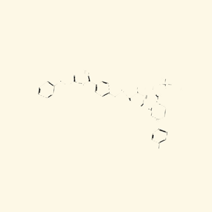 CC(NC(=O)[C@H]1C[C@@H](c2ccc(F)cc2)CCN1C(=O)OC(C)(C)C)C(=O)NCc1ccc(C(=N)NC(=O)OCc2ccccc2)cc1